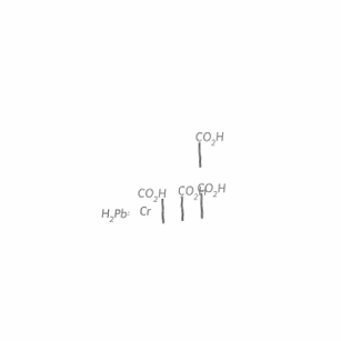 CC(=O)O.CC(=O)O.CC(=O)O.CC(=O)O.[Cr].[PbH2]